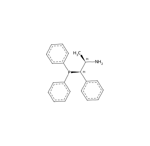 C[C@@H](N)[C@@H](c1ccccc1)P(c1ccccc1)c1ccccc1